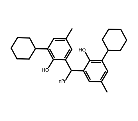 CCCC(c1cc(C)cc(C2CCCCC2)c1O)c1cc(C)cc(C2CCCCC2)c1O